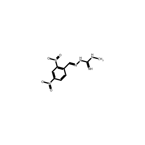 CNC(=N)N/N=C/c1ccc([N+](=O)[O-])cc1[N+](=O)[O-]